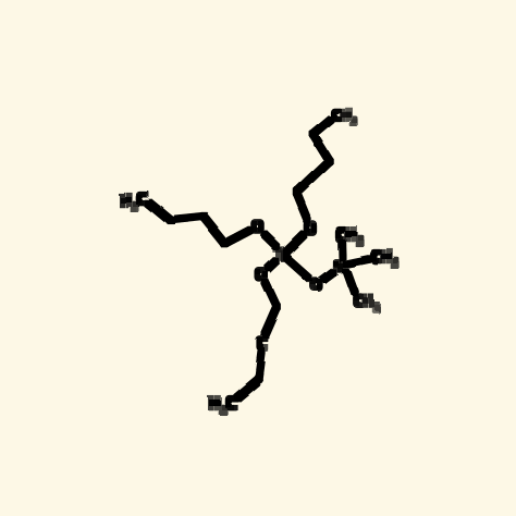 CCCC[O][Ti]([O]CCCC)([O]CCCC)[O][Si](C)(C)C